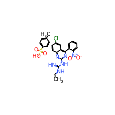 CCNC(=N)Nc1nc(-c2ccccc2[N+](=O)[O-])c2cc(Cl)ccc2n1.Cc1ccc(S(=O)(=O)O)cc1